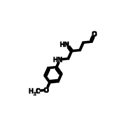 COc1ccc(NCC(=N)CCC=O)cc1